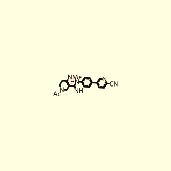 CNC1=C(C(=N)Nc2ccc(-c3ccc(C#N)nc3)cc2)CN(C(C)=O)CC1